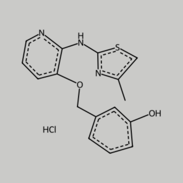 Cc1csc(Nc2ncccc2OCc2cccc(O)c2)n1.Cl